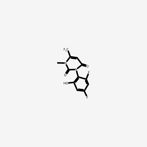 Cn1c(C(F)(F)F)cc(=O)n(-c2c(O)cc(F)cc2F)c1=O